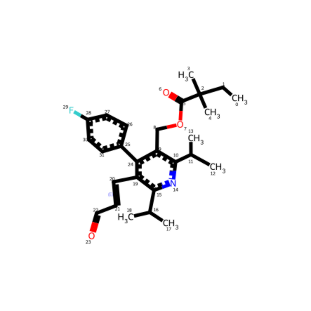 CCC(C)(C)C(=O)OCc1c(C(C)C)nc(C(C)C)c(/C=C/C=O)c1-c1ccc(F)cc1